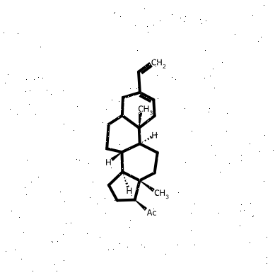 C=CC1=CC[C@@]2(C)C(CC[C@H]3[C@@H]4CC[C@H](C(C)=O)[C@@]4(C)CC[C@@H]32)C1